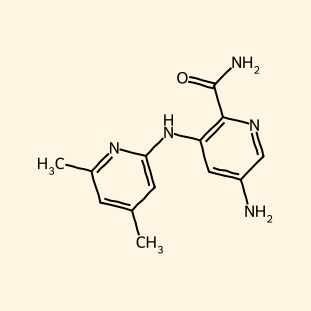 Cc1cc(C)nc(Nc2cc(N)cnc2C(N)=O)c1